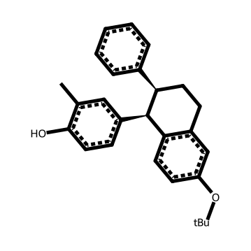 Cc1cc([C@@H]2c3ccc(OC(C)(C)C)cc3CC[C@@H]2c2ccccc2)ccc1O